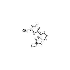 N#CN1Cc2cccc(-c3cccc(C=O)c3)c2C1